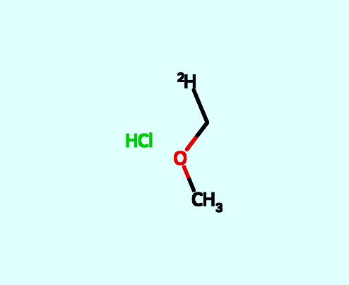 Cl.[2H]COC